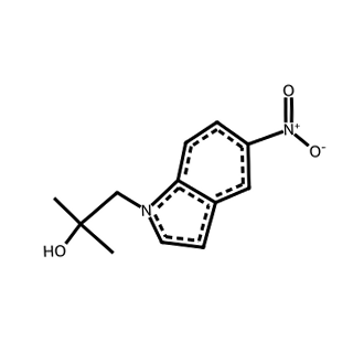 CC(C)(O)Cn1ccc2cc([N+](=O)[O-])ccc21